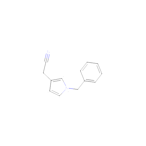 N#C[CH]c1ccn(Cc2ccccc2)c1